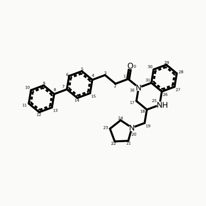 O=C(CCc1ccc(-c2ccccc2)cc1)N1CC(CN2CCCC2)Nc2ccccc21